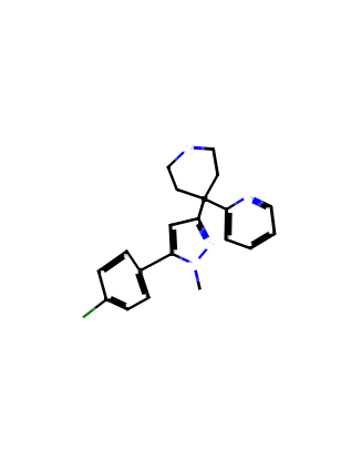 Cn1nc(C2(c3ccccn3)CCNCC2)cc1-c1ccc(F)cc1